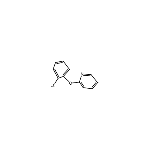 CCc1ccccc1Oc1cc[c]cn1